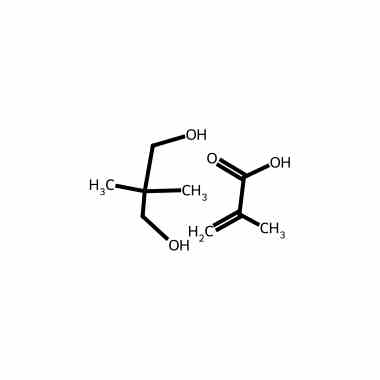 C=C(C)C(=O)O.CC(C)(CO)CO